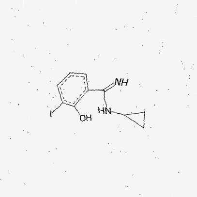 N=C(NC1CC1)c1cccc(I)c1O